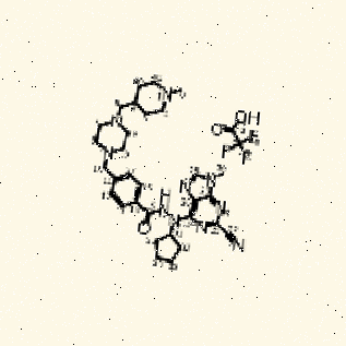 CN1CCC(CN2CCN(Cc3ccc(C(=O)NN(c4nc(C#N)nc5c4ncn5C)C4CCCC4)cc3)CC2)CC1.O=C(O)C(F)(F)F